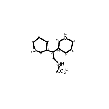 O=C(O)NCC(C1CCCOC1)C1CCCOC1